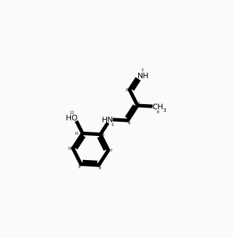 C/C(C=N)=C/Nc1ccccc1O